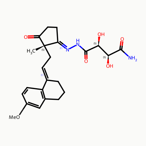 COc1ccc2c(c1)CCC/C2=C\C[C@]1(C)C(=O)CC/C1=N\NC(=O)[C@@H](O)[C@H](O)C(N)=O